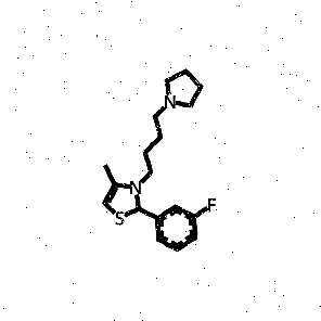 CC1=CSC(c2cccc(F)c2)N1CCCCN1CCCC1